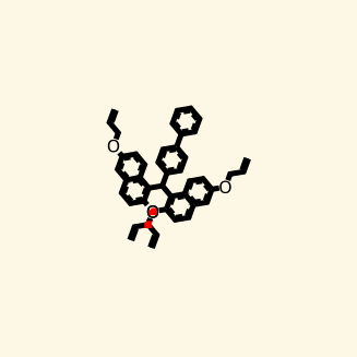 C=CCOc1ccc2c(C(c3ccc(-c4ccccc4)cc3)c3c(OCC=C)ccc4cc(OCC=C)ccc34)c(OCC=C)ccc2c1